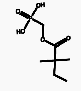 CCC(C)(C)C(=O)OCP(=O)(O)O